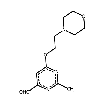 Cc1nc(C=O)cc(OCCN2CCOCC2)n1